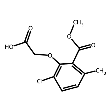 COC(=O)c1c(C)ccc(Cl)c1OCC(=O)O